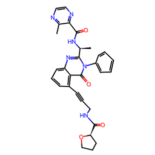 Cc1nccnc1C(=O)N[C@@H](C)c1nc2cccc(C#CCNC(=O)[C@H]3CCCO3)c2c(=O)n1-c1ccccc1